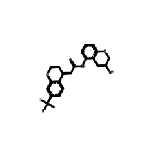 O=C(/C=C1\CCOc2cc(C(F)(F)F)ccc21)Nc1cccc2c1CC(O)CO2